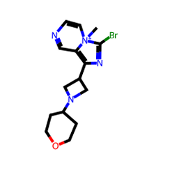 C[N+]12C=CN=CC1=C(C1CN(C3CCOCC3)C1)N=C2Br